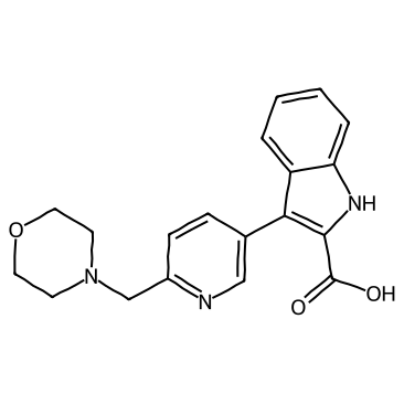 O=C(O)c1[nH]c2ccccc2c1-c1ccc(CN2CCOCC2)nc1